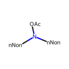 CCCCCCCCCN(CCCCCCCCC)OC(C)=O